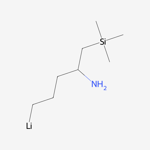 [Li][CH2]CCC(N)C[Si](C)(C)C